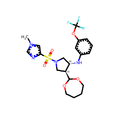 Cn1cnc(S(=O)(=O)N2C[C@H](Nc3cccc(OC(F)(F)F)c3)[C@@H](C3OCCCCO3)C2)c1